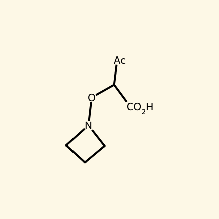 CC(=O)C(ON1CCC1)C(=O)O